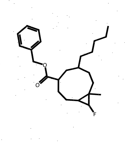 CCCCCC1CCC2(C)C(F)C2CCC(C(=O)OCc2ccccc2)C1